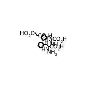 NN[C@@H](Cc1ccccc1)C(=O)O.NN[C@@H](Cc1ccccc1)C(=O)O.O=C(O)CCC(=O)O